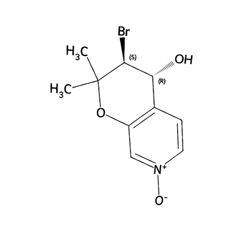 CC1(C)Oc2c[n+]([O-])ccc2[C@@H](O)[C@@H]1Br